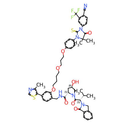 Cc1ncsc1-c1ccc(CNC(=O)[C@@H]2C[C@@H](O)CN2C(=O)[C@H](C(C)C)N2Cc3ccccc3C2=O)c(OCCCCOCCCOc2ccc(N3C(=S)N(c4ccc(C#N)c(C(F)(F)F)c4)C(=O)C3(C)C)cc2)c1